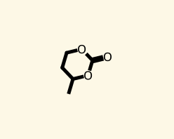 CC1CCOC(=O)O1